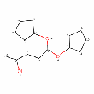 [CH2]C(O)CCC(OC1CCCC1)OC1CCCC1